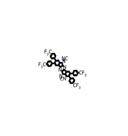 [C-]#[N+]/N=c1\c2cc(-c3ccc(C(F)(F)F)cc3)c(-c3ccc(C(F)(F)F)cc3)cc2c2nc3/c(=N/C#N)c4cc(-c5ccc(C(F)(F)F)cc5)c(-c5ccc(C(F)(F)F)cc5)cc4c3nc12